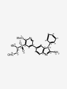 COc1ncc(-c2ccc3nc(N)n(-c4ccccc4)c3c2)cc1S(=O)(=O)N(OC=O)C(C)(C)C